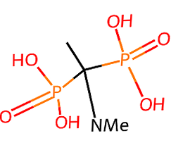 CNC(C)(P(=O)(O)O)P(=O)(O)O